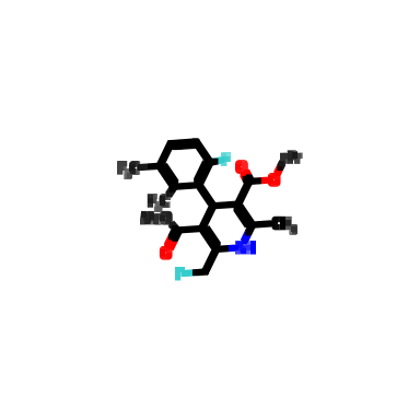 CCCOC(=O)C1=C(C)NC(CF)=C(C(=O)OC)C1c1c(F)ccc(C(F)(F)F)c1C(F)(F)F